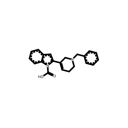 O=C(O)n1c(C2=CCCN(Cc3ccccc3)C2)cc2ccccc21